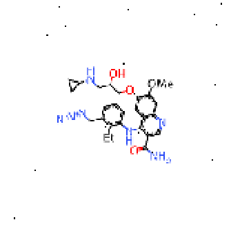 CCc1c(CN=[N+]=[N-])cccc1Nc1c(C(N)=O)cnc2cc(OC)c(OCC(O)CNC3CC3)cc12